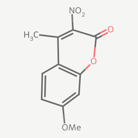 COc1ccc2c(C)c([N+](=O)[O-])c(=O)oc2c1